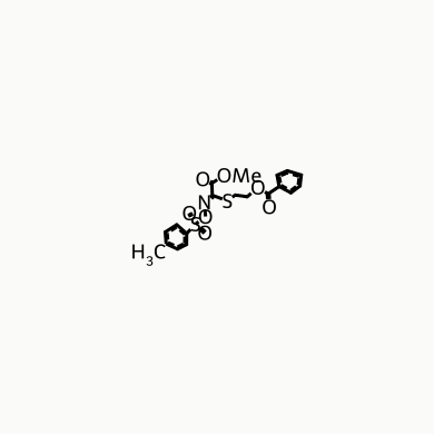 COC(=O)/C(=N/OS(=O)(=O)c1ccc(C)cc1)SCCOC(=O)c1ccccc1